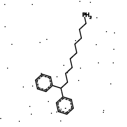 PCCCCCCCCCC(c1ccccc1)c1ccccc1